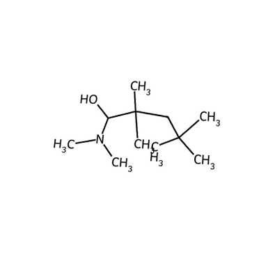 CN(C)C(O)C(C)(C)CC(C)(C)C